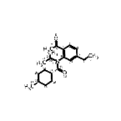 C[CH]c1ccc(C(C)=O)c(N(C(=O)[C@H]2CC[C@H](C)CC2)C(C)C)c1